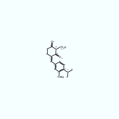 COc1cc(/C=C2/CCC(=O)N(C(=O)O)C2=O)ccc1N(C)C